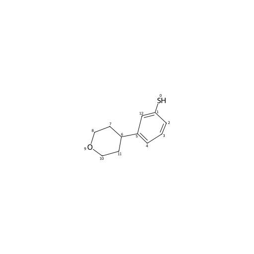 Sc1cccc(C2CCOCC2)c1